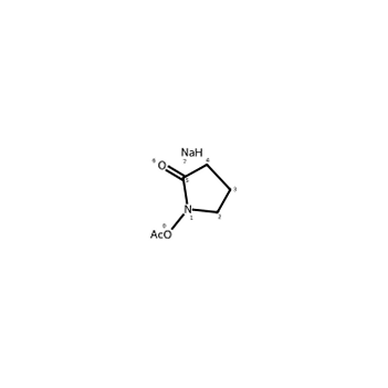 CC(=O)ON1CCCC1=O.[NaH]